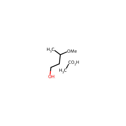 CC(=O)O.COC(C)CCO